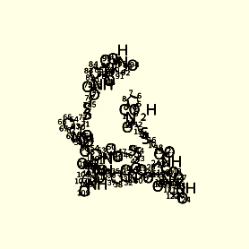 O=C(O)CN(Cc1ccccc1)C(=O)CCSSCCCOC(=O)Nc1ccc(OC(=O)CN(Cc2ccccc2)C(=O)OCCSSCCOC(=O)Nc2ccc(OC(=O)CN(Cc3ccccc3)C(=O)CCCSSCCOC(=O)Nc3cccc4c3C(=O)N(C3CCC(=O)NC3=O)C4=O)c3c2C(=O)N(C2CCC(=O)NC2=O)C3=O)c2c1C(=O)N(C1CCC(=O)NC1=O)C2=O